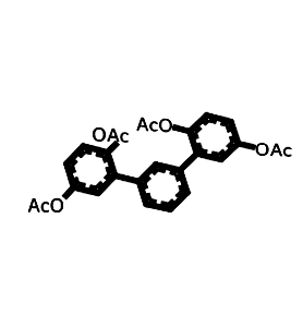 CC(=O)Oc1ccc(OC(C)=O)c(-c2cccc(-c3cc(OC(C)=O)ccc3OC(C)=O)c2)c1